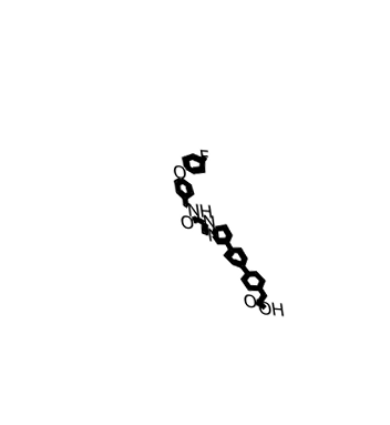 O=C(O)CC1CCC(c2ccc(-c3ccc4nc(C(=O)NCc5ccc(Oc6ccc(F)cc6)cc5)cn4c3)cc2)CC1